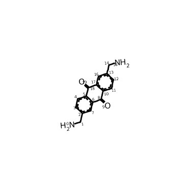 NCc1ccc2c(c1)C(=O)c1ccc(CN)cc1C2=O